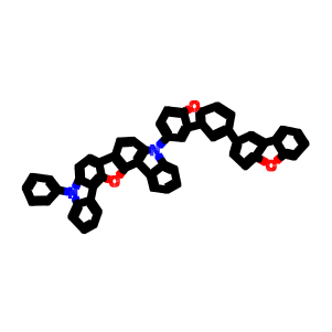 c1ccc(-n2c3ccccc3c3c4oc5c(ccc6c5c5ccccc5n6-c5ccc6oc7ccc(-c8ccc9oc%10ccccc%10c9c8)cc7c6c5)c4ccc32)cc1